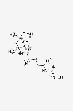 C/N=C(\NC)NCCCC(N)C(=O)NC(C)(C)CC(C)(C)CS